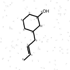 C/C=C/CC1CCCC(O)C1